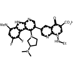 CCNn1cc(C(=O)O)c(=O)c2cc(-c3cnc4[nH]c5c(NC)cc(F)c(F)c5c4c3N3CC[C@@H](N(C)C)C3)cnc21